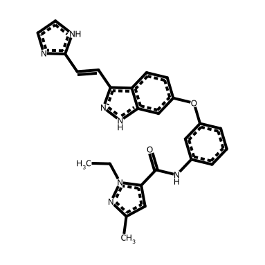 CCn1nc(C)cc1C(=O)Nc1cccc(Oc2ccc3c(/C=C/c4ncc[nH]4)n[nH]c3c2)c1